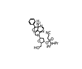 CC(C)N(C(C)C)P(=O)(CCC#N)O[C@H]1C[C@H](N2CN=C3C2=NC=NC3(N)C(=O)c2ccccc2)O[C@@H]1CO